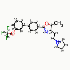 CC1OC(c2ccc(-c3cccc(OC(F)(F)F)c3)cc2)=NC1CCN1CCCC1